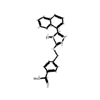 CCn1c(SCc2ccc(C(=O)OC)cc2)nnc1-c1cccc2ccccc12